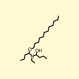 CCCCCCCCCCCCOC(CCC)N(CC)C(O)CCC